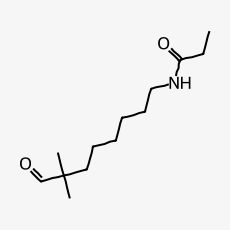 CCC(=O)NCCCCCCC(C)(C)C=O